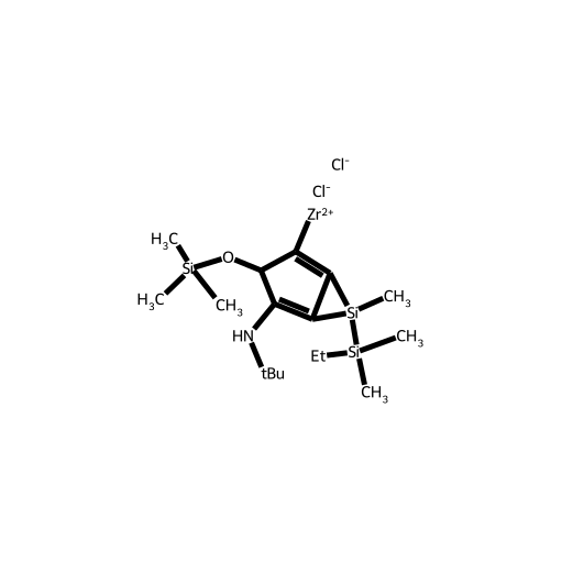 CC[Si](C)(C)[Si]1(C)C2=[C]([Zr+2])C(O[Si](C)(C)C)C(NC(C)(C)C)=C21.[Cl-].[Cl-]